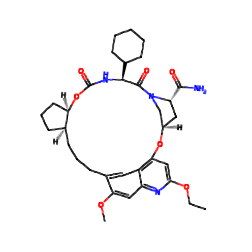 CCOc1cc2c3cc(c(OC)cc3n1)CCC[C@H]1CCC[C@H]1OC(=O)N[C@@H](C1CCCCC1)C(=O)N1C[C@@H](C[C@H]1C(N)=O)O2